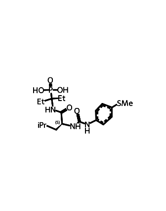 CCC(CC)(NC(=O)[C@H](CC(C)C)NC(=O)Nc1ccc(SC)cc1)P(=O)(O)O